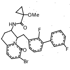 COC1(C(=O)NC2CCc3ccc(Br)c(=O)n3C2Cc2cccc(-c3cccc(F)c3)c2F)CC1